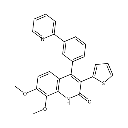 COc1ccc2c(-c3cccc(-c4ccccn4)c3)c(-c3cccs3)c(=O)[nH]c2c1OC